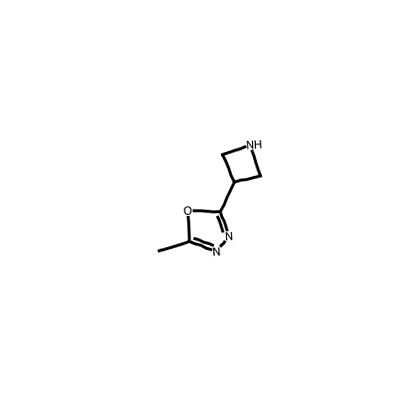 Cc1nnc(C2CNC2)o1